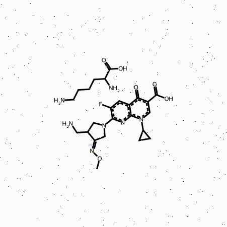 CO/N=C1\CN(c2nc3c(cc2F)c(=O)c(C(=O)O)cn3C2CC2)CC1CN.NCCCCC(N)C(=O)O